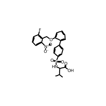 CC(C)C(NS(=O)(=O)c1ccc(-c2ccccc2OCc2c(F)cccc2[N+](=O)[O-])cc1)C(=O)O